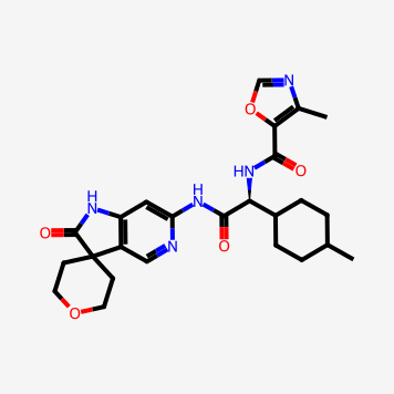 Cc1ncoc1C(=O)N[C@H](C(=O)Nc1cc2c(cn1)C1(CCOCC1)C(=O)N2)C1CCC(C)CC1